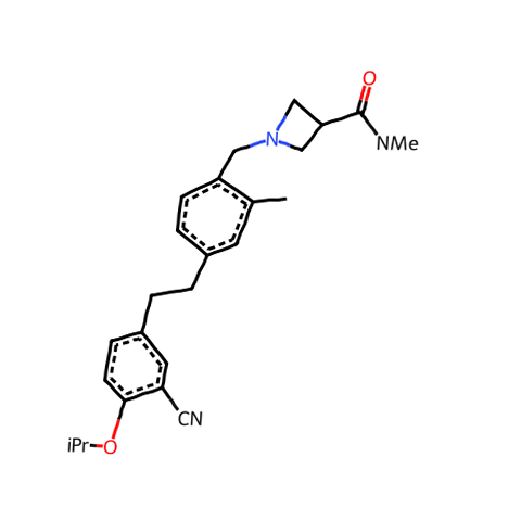 CNC(=O)C1CN(Cc2ccc(CCc3ccc(OC(C)C)c(C#N)c3)cc2C)C1